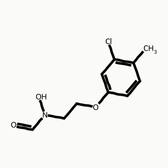 Cc1ccc(OCCN(O)C=O)cc1Cl